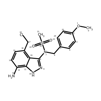 COc1ccc(CN(c2n[nH]c3c(N)ccc(CCl)c23)S(C)(=O)=O)cc1